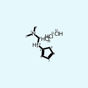 CN(C)[CH2][Hf][C]1=CC=CC1.Cl.Cl.Cl